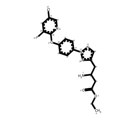 CCOC(=O)CC(N)Cc1cnn(-c2ccc(Oc3ncc(Cl)cc3F)cc2)n1